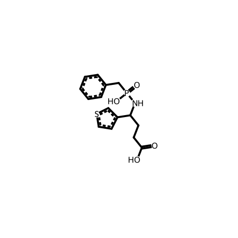 O=C(O)CCC(NP(=O)(O)Cc1ccccc1)c1ccsc1